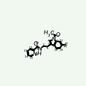 CC(=O)n1cc(CCNC(=O)c2ccccn2)c2ccc(F)cc21